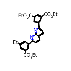 CCOC(=O)c1cc(CC)cc(-c2ccc3ccc(-c4cc(C(=O)OCC)cc(C(=O)OCC)c4)nc3n2)c1